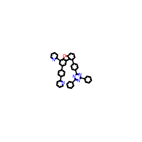 c1ccc(-c2nc(-c3ccccc3)nc(-c3ccc(-c4cccc5oc6c(-c7ccccn7)cc(-c7ccc(-c8ccccn8)cc7)cc6c45)cc3)n2)cc1